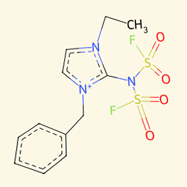 CCn1cc[n+](Cc2ccccc2)c1N(S(=O)(=O)F)S(=O)(=O)F